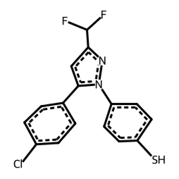 FC(F)c1cc(-c2ccc(Cl)cc2)n(-c2ccc(S)cc2)n1